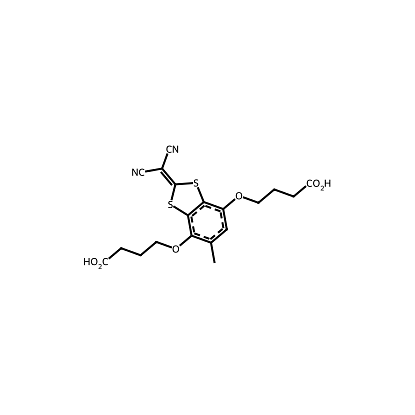 Cc1cc(OCCCC(=O)O)c2c(c1OCCCC(=O)O)SC(=C(C#N)C#N)S2